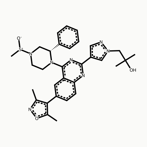 Cc1noc(C)c1-c1ccc2nc(-c3cnn(CC(C)(C)O)c3)nc(N3CCN([S+](C)[O-])C[C@@H]3c3ccccc3)c2c1